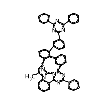 Cc1cc2nc(n1)[n+]1c(-c3ccccc3)nc(-c3ccccc3)nc1c1cccc(c1)c1c(-c3cccc(-c4nc(-c5ccccc5)nc(-c5ccccc5)n4)c3)cccc21